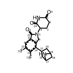 O=C1CCC(N2Cc3c(cc(F)c(F)c3C3CC4CC(C3)N4)C2=O)C(=O)N1